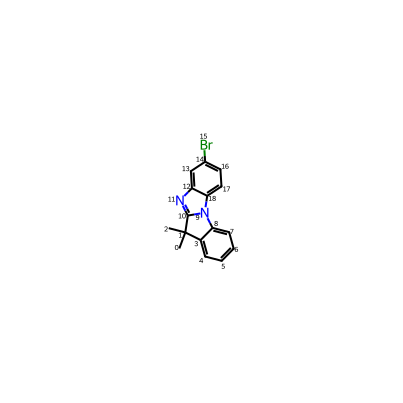 CC1(C)c2ccccc2-n2c1nc1cc(Br)ccc12